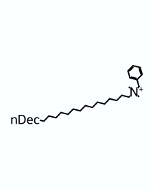 CCCCCCCCCCCCCCCCCCCCCCCCC[N+](C)(C)Cc1ccccc1